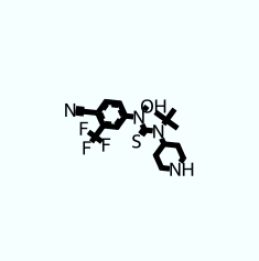 CC(C)(C)N(C(=S)N(O)c1ccc(C#N)c(C(F)(F)F)c1)C1CCNCC1